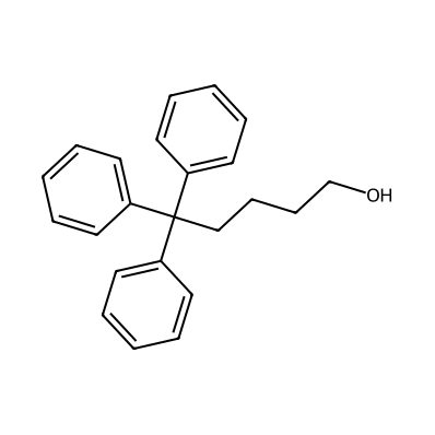 OCCCCC(c1ccccc1)(c1ccccc1)c1ccccc1